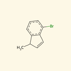 CC1C=Cc2c(Br)cccc21